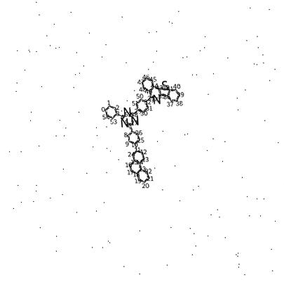 c1ccc(-c2nc(-c3ccc(-c4ccc5c(ccc6ccccc65)c4)cc3)nc(-c3ccc(-c4nc5c6ccccc6sc5c5ccccc45)cc3)n2)cc1